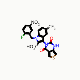 O=C(O)c1c(-n2c(=O)[nH]c3cscc3c2=O)c2cc(C(F)(F)F)ccc2n1Cc1cc([N+](=O)[O-])ccc1F